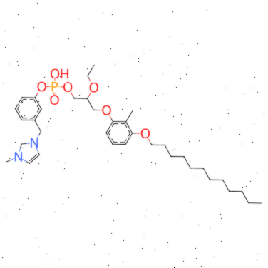 CCCCCCCCCCCCOc1cccc(OCC(COP(=O)(O)Oc2cccc(CN3C=CN(C)C3)c2)OCC)c1C